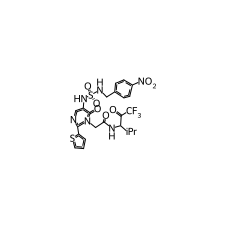 CC(C)C(NC(=O)Cn1c(-c2cccs2)ncc(NS(=O)(=O)NCc2ccc([N+](=O)[O-])cc2)c1=O)C(=O)C(F)(F)F